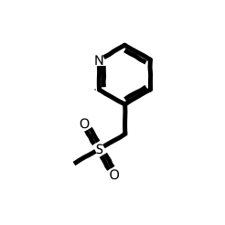 CS(=O)(=O)Cc1[c]nccc1